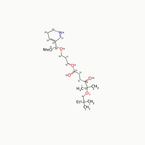 CCC(C)(C)COC(C)(C)C(=O)CCC(=O)OCCCOC(OC)C1=CCCN=C1